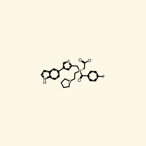 O=C([O-])C[N+](CCN1CCCC1)(Cc1cc(-c2ccc3[nH]ccc3c2)cs1)C(=O)c1ccc(F)cc1